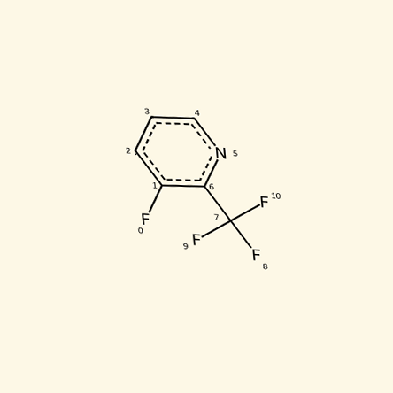 Fc1[c]ccnc1C(F)(F)F